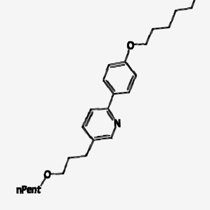 CCCCCOCCCc1ccc(-c2ccc(OCCCCCC(C)CC)cc2)nc1